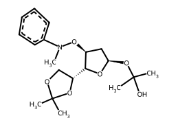 CN(O[C@H]1C[C@@H](OC(C)(C)O)OC1[C@H]1COC(C)(C)O1)c1ccccc1